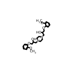 COc1ccccc1OCC(O)CN1CCN(CC(O)COc2ccccc2OC)CC1